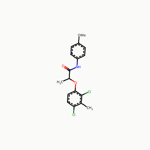 COc1ccc(NC(=O)C(C)Oc2ccc(Cl)c(C)c2Cl)cc1